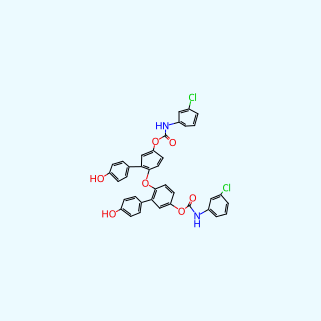 O=C(Nc1cccc(Cl)c1)Oc1ccc(Oc2ccc(OC(=O)Nc3cccc(Cl)c3)cc2-c2ccc(O)cc2)c(-c2ccc(O)cc2)c1